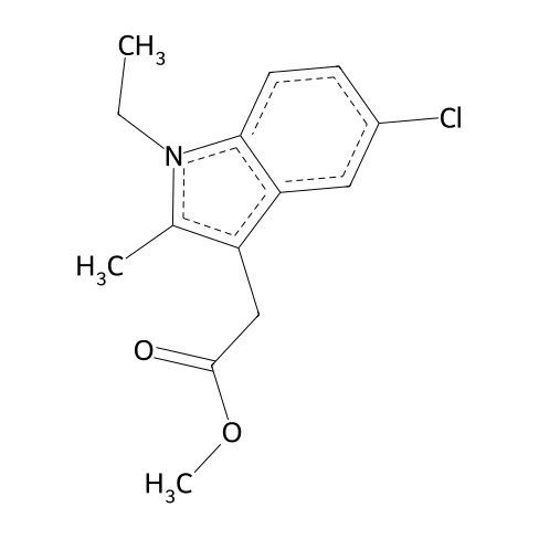 CCn1c(C)c(CC(=O)OC)c2cc(Cl)ccc21